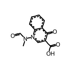 CN(C=O)n1cc(C(=O)O)c(=O)c2ccccc21